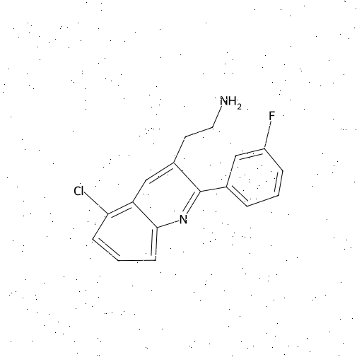 NCCc1cc2c(Cl)cccc2nc1-c1cccc(F)c1